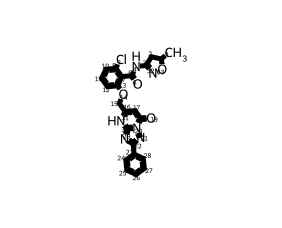 CC1CC(NC(=O)c2c(Cl)cccc2OCc2cc(=O)n3nc(-c4ccccc4)nc3[nH]2)=NO1